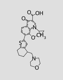 COc1c(-c2cc3c(s2)CCCC3CN2CCOCC2)ccc2c(=O)c(C(=O)O)cn(C3CC3)c12